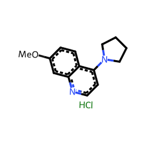 COc1ccc2c(N3CCCC3)ccnc2c1.Cl